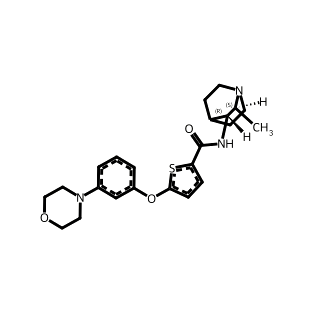 C[C@H]1[C@H](NC(=O)c2ccc(Oc3cccc(N4CCOCC4)c3)s2)C2CCN1CC2